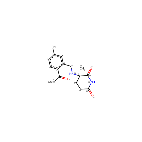 COC(=O)c1ccc(C#N)cc1CN[C@]1(C)CCC(=O)NC1=O